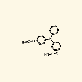 N=C=O.N=C=O.c1ccc(N(c2ccccc2)c2ccccc2)cc1